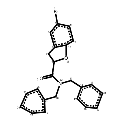 O=C(C1Cc2cc(Br)ccc2O1)N(Cc1ccccc1)Cc1ccccc1